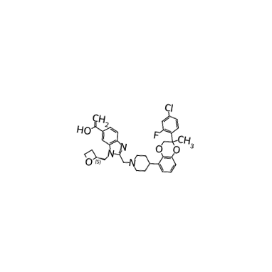 C=C(O)c1ccc2nc(CN3CCC(c4cccc5c4OCC(C)(c4ccc(Cl)cc4F)O5)CC3)n(C[C@@H]3CCO3)c2c1